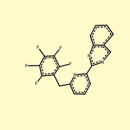 Fc1c(F)c(F)c(Cc2cccc(-c3ncc4ccccc4n3)n2)c(F)c1F